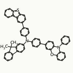 CC1(C)c2ccccc2-c2ccc(N(c3ccc(-c4ccc5c(c4)Oc4ccccc4N5c4ccccc4)cc3)c3ccc(-c4ccc5sc6ccccc6c5c4)cc3)cc21